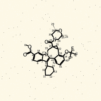 COC(=O)c1ccc2c(C3CCCCC3)c3n(c2c1)CC1(C(=O)N2C[C@@H](C)O[C@@H](C)C2)CC1c1c(OC(F)(F)F)cccc1-3